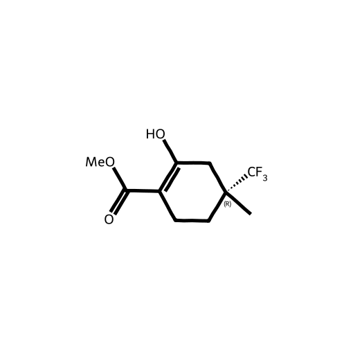 COC(=O)C1=C(O)C[C@](C)(C(F)(F)F)CC1